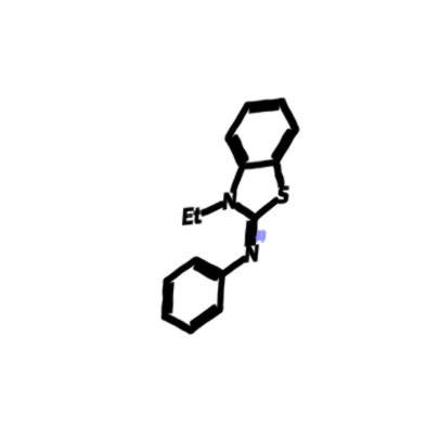 CCn1/c(=N\c2ccccc2)sc2ccccc21